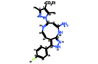 CCOC(=O)c1c(C)nn(-c2cc(N)[nH]c3n[nH]c(-c4ccc(F)cc4)c3ccn2)c1C